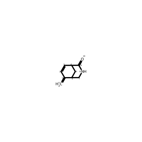 C=C1C=CC2CC1CNC2=O